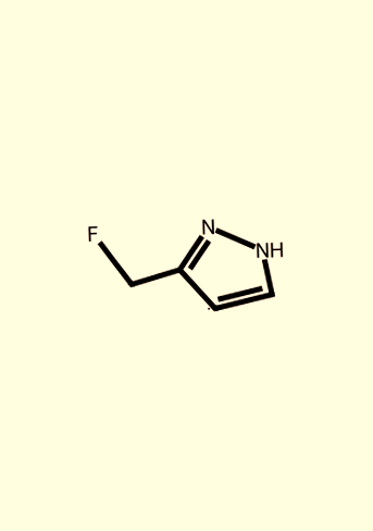 FCc1[c]c[nH]n1